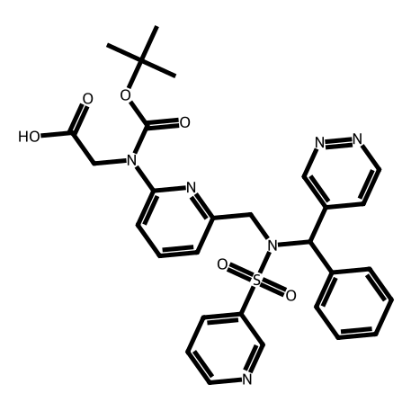 CC(C)(C)OC(=O)N(CC(=O)O)c1cccc(CN(C(c2ccccc2)c2ccnnc2)S(=O)(=O)c2cccnc2)n1